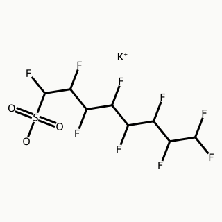 O=S(=O)([O-])C(F)C(F)C(F)C(F)C(F)C(F)C(F)C(F)F.[K+]